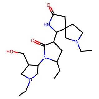 CCC1CC(C2NC(=O)CC23CCN(CC)C3)C(=O)N1C1CN(CC)CC1CO